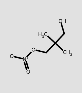 CC(C)(CO)CO[N+](=O)[O-]